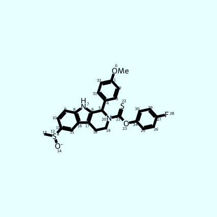 COc1ccc(C2c3[nH]c4ccc([S+](C)[O-])cc4c3CCN2C(=S)Oc2ccc(F)cc2)cc1